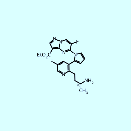 CCOC(=O)c1cnn2cc(F)c(-n3cccc3-c3cc(F)cnc3CC[C@@H](C)N)nc12